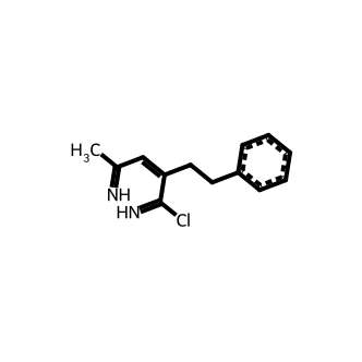 CC(=N)/C=C(/CCc1ccccc1)C(=N)Cl